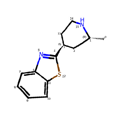 C[C@@H]1C[C@@H](c2nc3ccccc3s2)CCN1